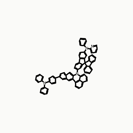 c1ccc(N(c2ccccc2)c2ccc(-c3ccc4cc5c(cc4c3)-c3cccc4cccc(c34)N5c3ccc4c(c3)C3(c5ccccc5-c5ccccc53)c3cc(N(c5ccccc5)c5ccccn5)ccc3-4)cc2)cc1